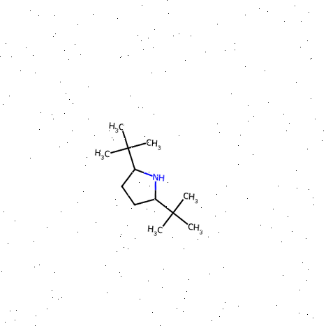 CC(C)(C)C1CCC(C(C)(C)C)N1